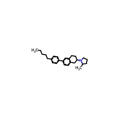 CCCCCc1ccc(-c2ccc3c(c2)CCC(N2CCCC2C)C3)cc1